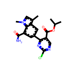 Cc1cn(C)c2c(C(N)=O)cc(-c3nc(Cl)ncc3C(=O)OC(C)C)cc12